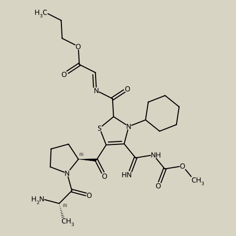 CCCOC(=O)C=NC(=O)C1SC(C(=O)[C@@H]2CCCN2C(=O)[C@H](C)N)=C(C(=N)NC(=O)OC)N1C1CCCCC1